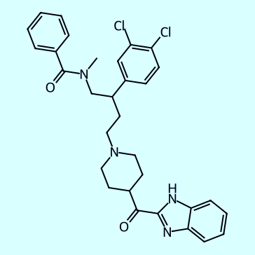 CN(CC(CCN1CCC(C(=O)c2nc3ccccc3[nH]2)CC1)c1ccc(Cl)c(Cl)c1)C(=O)c1ccccc1